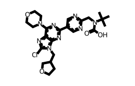 CC(C)(C)N(Cc1ncc(-c2nc(N3CCOCC3)c3nc(Cl)n(CC4CCOC4)c3n2)cn1)C(=O)O